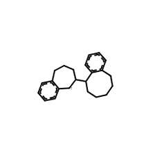 [C]1c2ccccc2CCCC1C1CCCCCc2ccccc21